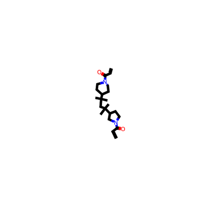 C=CC(=O)N1CCC(C(C)(C)CC(C)(C)C2CCN(C(=O)C=C)C2)CC1